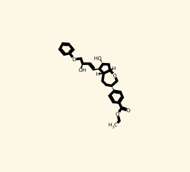 CCOC(=O)c1ccc([C@@H]2CC[C@@H]3[C@@H](C=C[C@@H](O)COc4ccccc4)[C@H](O)C[C@@H]3OC2)cc1